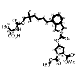 COC(=O)[C@@H]1C[C@@H](OC(=O)N2Cc3cccc(CCCCC(C)(C)COC(=O)N[C@H](C(=O)O)C(C)(C)C)c3C2)CN1C(=O)OC(C)(C)C